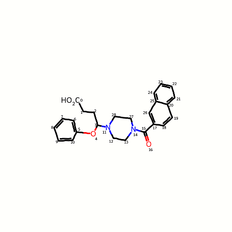 O=C(O)CCC(Oc1ccccc1)N1CCN(C(=O)c2ccc3ccccc3c2)CC1